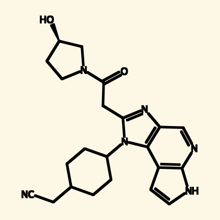 N#CCC1CCC(n2c(CC(=O)N3CC[C@@H](O)C3)nc3cnc4[nH]ccc4c32)CC1